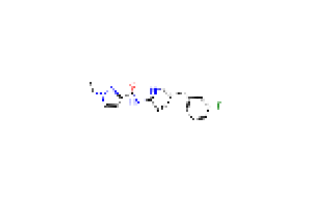 CCn1ccc(C(=O)Nc2ccc(Cc3cccc(F)c3)cn2)n1